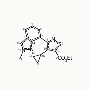 CCOC(=O)c1snc(-c2cccc3cn(C)nc23)c1C1CC1